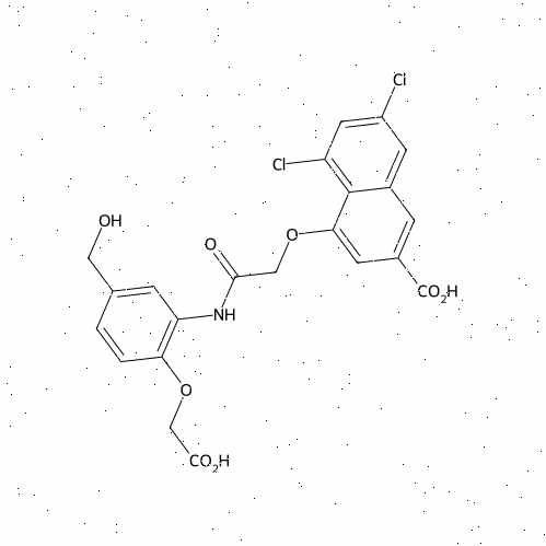 O=C(O)COc1ccc(CO)cc1NC(=O)COc1cc(C(=O)O)cc2cc(Cl)cc(Cl)c12